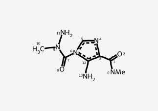 CNC(=O)c1ncn(C(=O)N(C)N)c1N